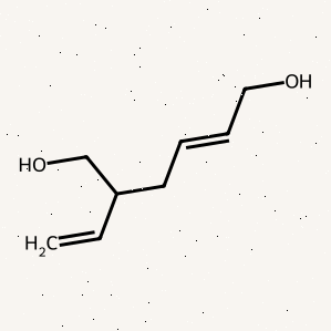 C=CC(CO)C/C=C/CO